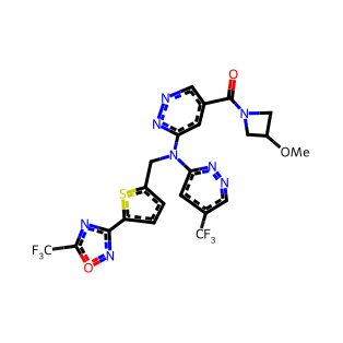 COC1CN(C(=O)c2cnnc(N(Cc3ccc(-c4noc(C(F)(F)F)n4)s3)c3cc(C(F)(F)F)cnn3)c2)C1